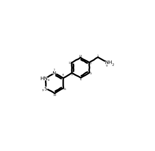 NCc1ccc(C2=NNSC=C2)cc1